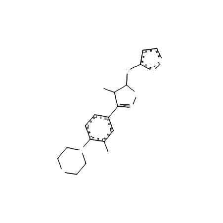 CC1C(c2ccc(N3CCSCC3)c(F)c2)=NOC1Nc1ccon1